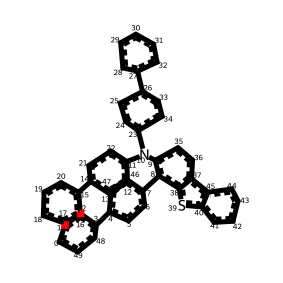 c1ccc(-c2ccc(-c3c(N(c4ccc(-c5ccccc5)cc4)c4ccc(-c5ccccc5)cc4)ccc4c3sc3ccccc34)cc2)cc1